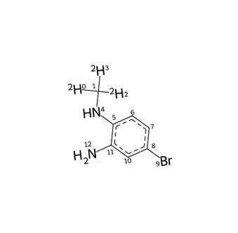 [2H]C([2H])([2H])Nc1ccc(Br)cc1N